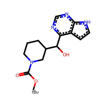 CC(C)(C)OC(=O)N1CCCC(C(O)c2ncnc3[nH]ccc23)C1